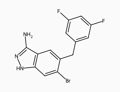 Nc1n[nH]c2cc(Br)c(Cc3cc(F)cc(F)c3)cc12